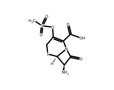 CS(=O)(=O)OC1=C(C(=O)O)N2C(=O)[C@@H](N)[C@H]2SC1